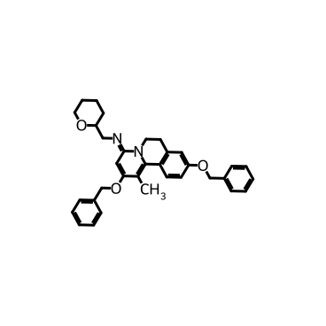 Cc1c(OCc2ccccc2)cc(=NCC2CCCCO2)n2c1-c1ccc(OCc3ccccc3)cc1CC2